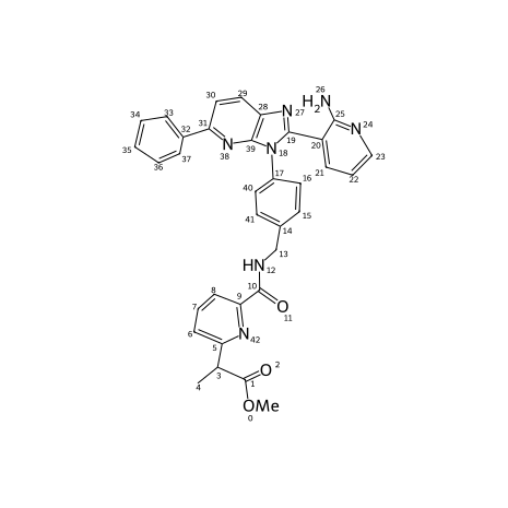 COC(=O)C(C)c1cccc(C(=O)NCc2ccc(-n3c(-c4cccnc4N)nc4ccc(-c5ccccc5)nc43)cc2)n1